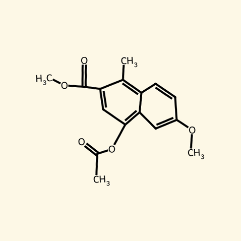 COC(=O)c1cc(OC(C)=O)c2cc(OC)ccc2c1C